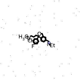 CC/N=C/c1ccc2c(c1)COC2(CCCN(C)C)c1ccc(F)cc1